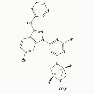 CC(C)c1nc(N2C[C@@H]3C[C@H]2CN3C(=O)O)cc(-n2nc(Nc3cnccn3)c3ccc(O)cc32)n1